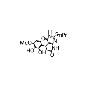 CCCSc1nc2c(c(=O)[nH]1)C(c1ccc(OC)c(O)c1O)CC(=O)N2